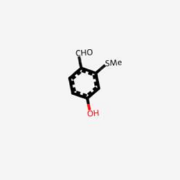 CSc1cc(O)ccc1C=O